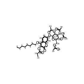 CCCCCCCCOc1c(OC(=O)CC)c(=O)oc2cc(O[C@@H]3O[C@H](COC(C)=O)[C@@H](OC(C)=O)[C@H](OC(C)=O)[C@H]3OC(C)=O)ccc12